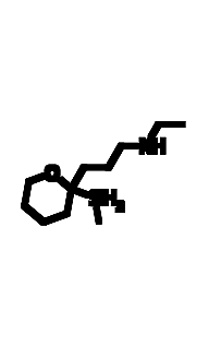 CCNCCCC1([SiH2]C)CCCCO1